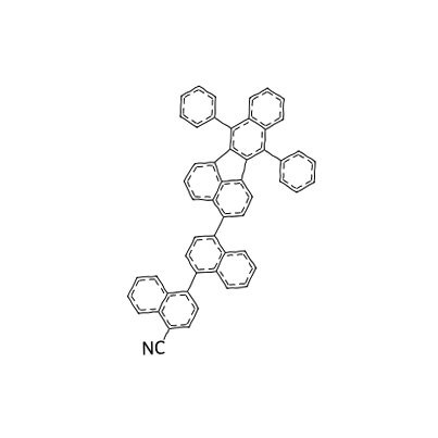 N#Cc1ccc(-c2ccc(-c3ccc4c5c(cccc35)-c3c-4c(-c4ccccc4)c4ccccc4c3-c3ccccc3)c3ccccc23)c2ccccc12